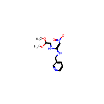 COC(CNC(=C[N+](=O)[O-])NCc1cccnc1)OC